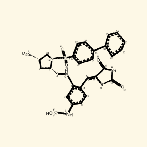 CS[C@H]1C[C@@H](CNc2cc(NC(=O)O)ccc2/C=C2\SC(=O)NC2=O)N(S(=O)(=O)c2ccc(-c3ccccc3)cc2)C1